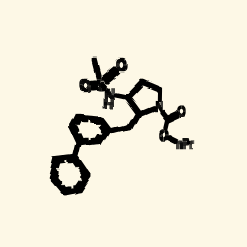 CCCOC(=O)N1CCC(NS(C)(=O)=O)C1Cc1cccc(-c2ccccc2)c1